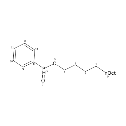 CCCCCCCCCCCCO[PH](=O)c1ccccc1